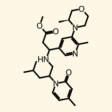 COC(=O)CC(NCC(CC(C)C)n1ccc(C)cc1=O)c1cnc(C)c(N2CCOC[C@@H]2C)c1